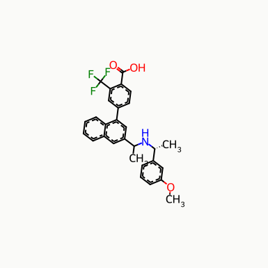 COc1cccc([C@@H](C)NC(C)c2cc(-c3ccc(C(=O)O)c(C(F)(F)F)c3)c3ccccc3c2)c1